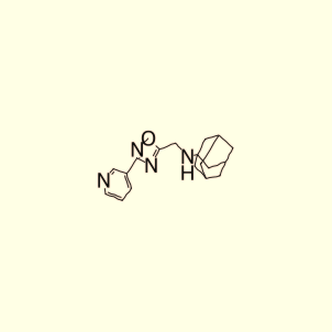 c1cncc(-c2noc(CNC34CC5CC(CC(C5)C3)C4)n2)c1